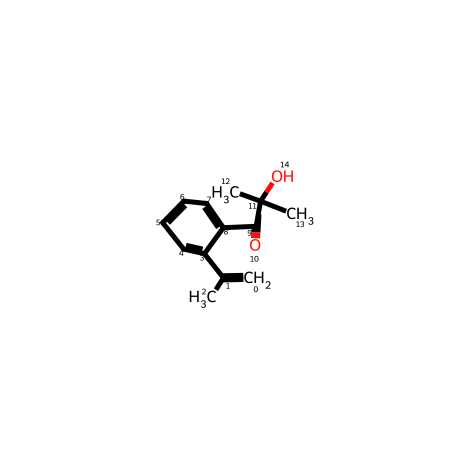 C=C(C)c1ccccc1C(=O)C(C)(C)O